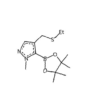 CCSCc1cnn(C)c1B1OC(C)(C)C(C)(C)O1